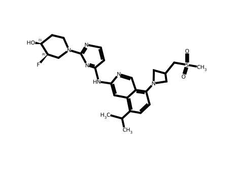 CC(C)c1ccc(N2CC(CS(C)(=O)=O)C2)c2cnc(Nc3ccnc(N4CC[C@H](O)[C@H](F)C4)n3)cc12